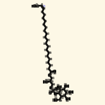 CCCCCCCC/C=C\CCCCCCCCCCCCCCCCCCCC(=O)OC[C@H](O)COP(=O)(O)O[C@H]1C(O)C(O)[C@H](O)C(O)C1CO